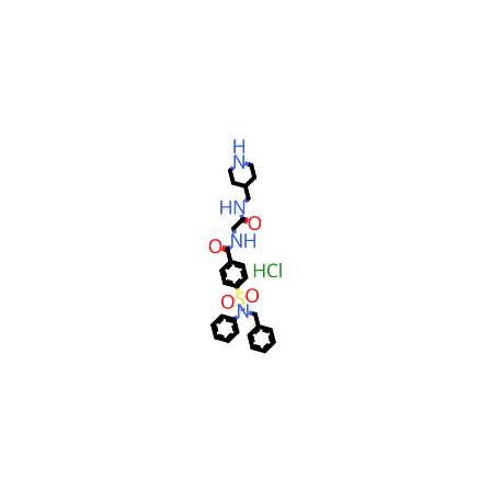 Cl.O=C(CNC(=O)c1ccc(S(=O)(=O)N(Cc2ccccc2)c2ccccc2)cc1)NCC1CCNCC1